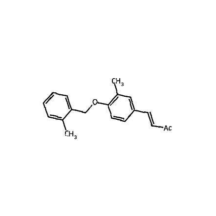 CC(=O)/C=C/c1ccc(OCc2ccccc2C)c(C)c1